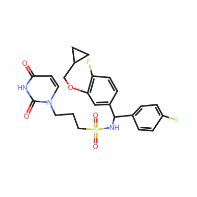 O=c1ccn(CCCS(=O)(=O)NC(c2ccc(F)cc2)c2ccc(F)c(OCC3CC3)c2)c(=O)[nH]1